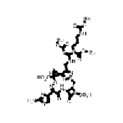 Cc1nn(C[C@@H]2[C@H](NC(=O)C(=NOC3(C(=O)O)CC3)c3csc(N)n3)C(=O)N2S(=O)(=O)O)nc1CNC(=NC(=O)OC(C)(C)C)N(CCCNC(=O)OC(C)(C)C)C(=O)OC(C)(C)C